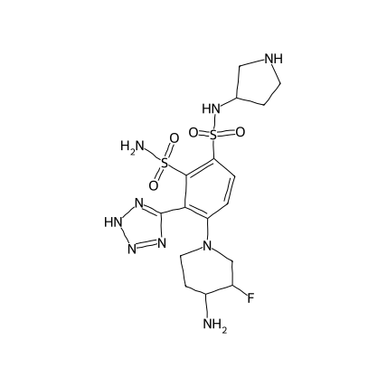 NC1CCN(c2ccc(S(=O)(=O)NC3CCNC3)c(S(N)(=O)=O)c2-c2nn[nH]n2)CC1F